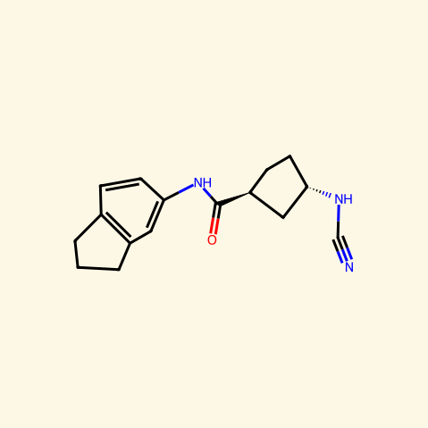 N#CN[C@H]1CC[C@H](C(=O)Nc2ccc3c(c2)CCC3)C1